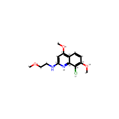 COCCNc1cc(OC)c2ccc(OC)c(Cl)c2n1